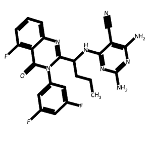 CCCC(Nc1nc(N)nc(N)c1C#N)c1nc2cccc(F)c2c(=O)n1-c1cc(F)cc(F)c1